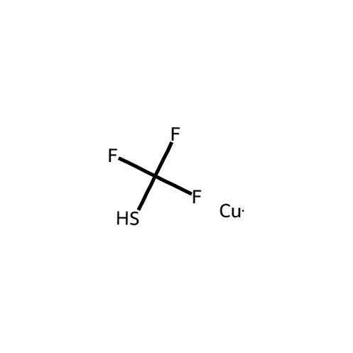 FC(F)(F)S.[Cu]